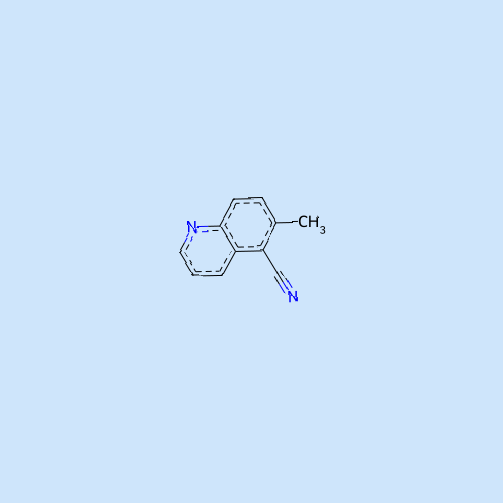 Cc1ccc2ncccc2c1C#N